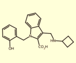 O=C(O)c1c(CNC2CCC2)c2ccccc2n1Cc1ccccc1O